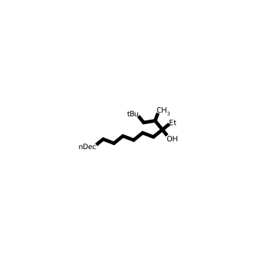 CCCCCCCCCCCCCCCCC(O)(CC)C(C)CC(C)(C)C